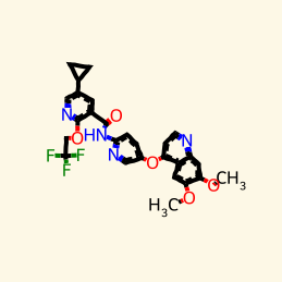 COc1cc2nccc(Oc3ccc(NC(=O)c4cc(C5CC5)cnc4OCC(F)(F)F)nc3)c2cc1OC